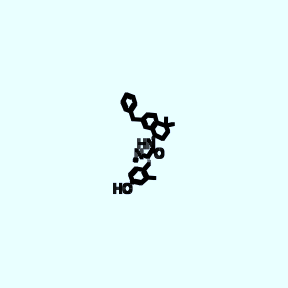 C=N[C@@H](Cc1ccc(O)cc1C)C(=O)N[C@@H]1CCC(C)(C)c2ccc(Cc3ccccc3)cc21